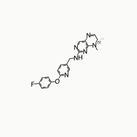 C[C@H]1C=Nc2cnc(NCc3ccc(Oc4ccc(F)cc4)nc3)nc2N1C